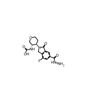 NNC(=O)c1cc(F)c2c(c1)C(=O)N([C@@H]1CCOC[C@H]1NC(=O)O)C2